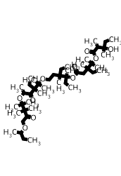 CCC(C)OCC(=O)C(C)(C)C(C)(C)OC(C)C(=O)C(C)(CC)C(C)(C)OCCC(C)(CC)C(C)(CC)OC(=O)CC(C)(CC)C(C)(C)OC(=O)C(C)C(C)(O)CC